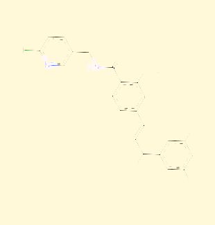 Cc1cc(C=CC(c2cc(Cl)cc(Cl)c2)C(F)(F)F)ccc1C(=S)NCc1ccc(Cl)nc1